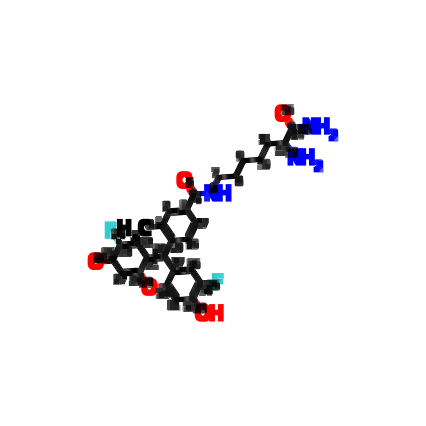 Cc1cc(C(=O)NCCCCCC(N)C(N)=O)ccc1-c1c2cc(F)c(=O)cc-2oc2cc(O)c(F)cc12